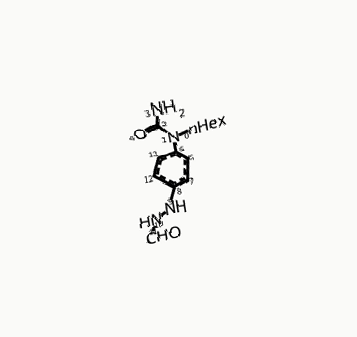 CCCCCCN(C(N)=O)c1ccc(NNC=O)cc1